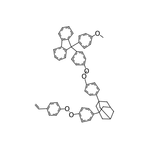 C=Cc1ccc(OOc2ccc(C34CC5CC(C3)CC(c3ccc(OOc6ccc(C7(c8ccc(OC)cc8)c8ccccc8-c8ccccc87)cc6)cc3)(C5)C4)cc2)cc1